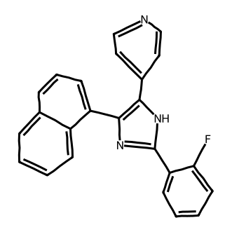 Fc1ccccc1-c1nc(-c2cccc3ccccc23)c(-c2ccncc2)[nH]1